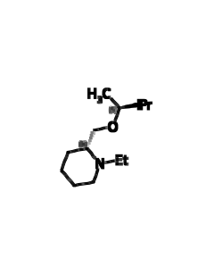 CCN1CCCC[C@@H]1CO[C@@H](C)C(C)C